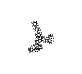 c1ccc(-c2ccc(-c3ccc(N(c4ccc(-c5cccc6ccccc56)cc4)c4cccc(-c5cccc6oc7c8ccccc8ccc7c56)c4)cc3)cc2)cc1